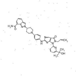 C=CCn1c(=O)c2cnc(Nc3ccc(N4CCC(n5cc6cccc(C(N)=O)c6n5)CC4)cc3)nc2n1-c1cccc(C(C)(C)O)n1